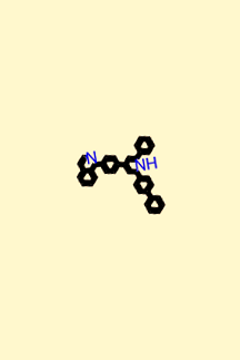 C1=C(c2ccc(-c3nccc4ccccc34)cc2)C=C(c2ccccc2)NC1c1ccc(-c2ccccc2)cc1